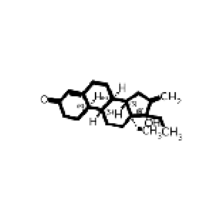 C=C1C[C@H]2[C@@H]3CCC4=CC(=O)CC[C@@H]4[C@H]3CC[C@]2(CC)[C@@]1(O)CC